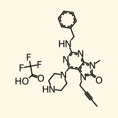 CC#CCn1c(=O)n(C)c2nc(NCc3ccccc3)nc(N3CCNCC3)c21.O=C(O)C(F)(F)F